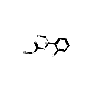 CC(C)(C)OC(=O)O[C@H](CO)c1ccccc1Cl